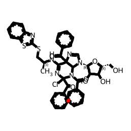 C[C@@H](CSc1nc2ccccc2s1)NC1=NC(Cl)(C(=O)c2ccccc2)N(C(=O)c2ccccc2)C2N([C@@H]3O[C@H](CO)C(O)C3O)C=NC12C(=O)c1ccccc1